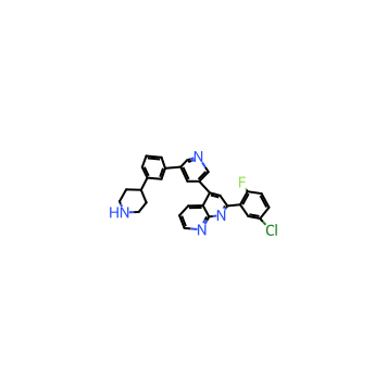 Fc1ccc(Cl)cc1-c1cc(-c2cncc(-c3cccc(C4CCNCC4)c3)c2)c2cccnc2n1